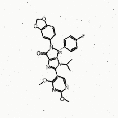 COc1ncc(-c2nc3c(n2C(C)C)[C@@H](c2ccc(F)cc2)N(c2ccc4c(c2)OCO4)C3=O)c(OC)n1